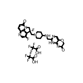 O=C(O)C(F)(F)F.O=C(O)C(F)(F)F.O=C1COC2=CN=C(CNC3CCN(C[C@]4(F)Cn5c(=O)ccc6ncc(F)c4c65)CC3)NC2=N1